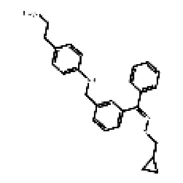 O=C(O)CCc1ccc(NCc2cccc(/C(=N\OCC3CC3)c3ccccc3)c2)cc1